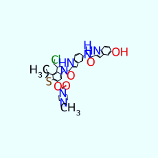 Cc1csc2c(OC(=O)N3CCN(C)CC3)cc3c(c12)C(CCl)CN3C(=O)c1cc2cc(NC(=O)c3cc4cc(O)ccc4[nH]3)ccc2[nH]1